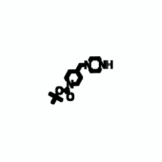 CC(C)(C)OC(=O)N1CCC(CN2CCNCC2)CC1